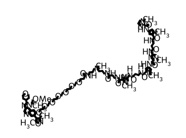 COC[C@@H](C)n1c(C2CCOCC2)nc2cnc3cc(-c4c(C)noc4C)c(OCCOCCOCCOCCOCCOCCOCCC(=O)NCCCN(C)CCCNC(=O)CCNC(=O)c4nc(NC(=O)CCNC(=O)c5cc(NC(=O)c6nc(NC(=O)CCNC(=O)c7cc(NC(=O)c8nccn8C)cn7C)cn6C)cn5C)cn4C)cc3c21